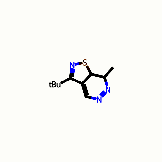 CC1N=NC=C2C(C(C)(C)C)=NSC21